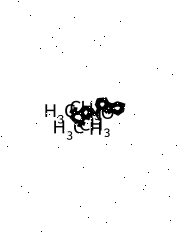 CC1(C)CCC(C)(C)c2cc(Nc3cccc4c3oc3ccccc34)ccc21